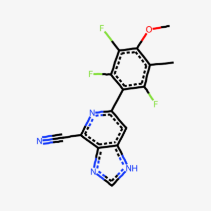 COc1c(C)c(F)c(-c2cc3[nH]cnc3c(C#N)n2)c(F)c1F